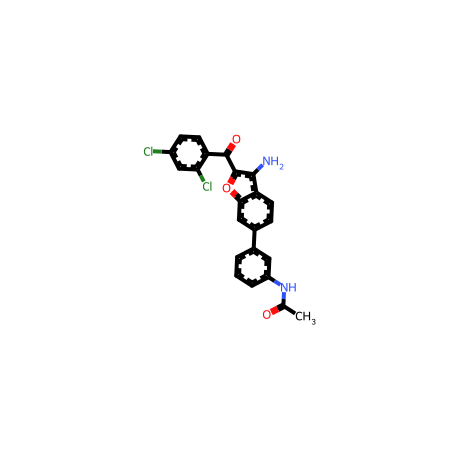 CC(=O)Nc1cccc(-c2ccc3c(N)c(C(=O)c4ccc(Cl)cc4Cl)oc3c2)c1